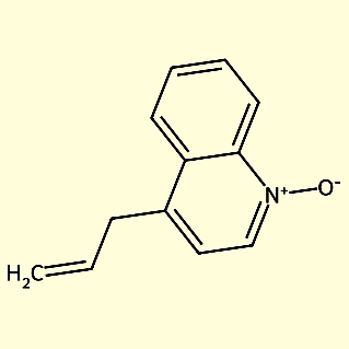 C=CCc1cc[n+]([O-])c2ccccc12